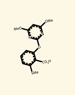 COc1cc(OC)nc(Oc2cccc(SC)c2C(=O)O)n1